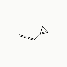 C=C=CC1=CC1